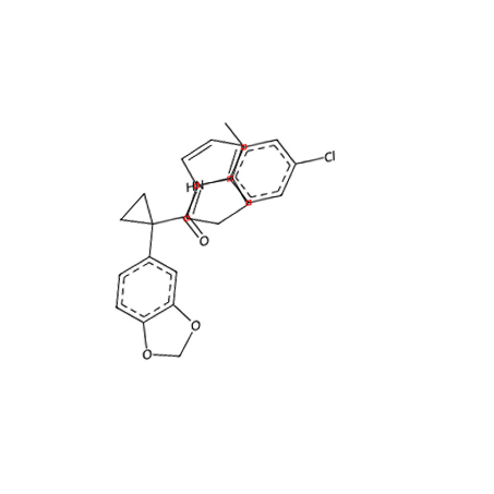 Cc1cc(Cl)ccc1C1=C\CC/C(NC(=O)C2(c3ccc4c(c3)OCO4)CC2)=C/C=C\1